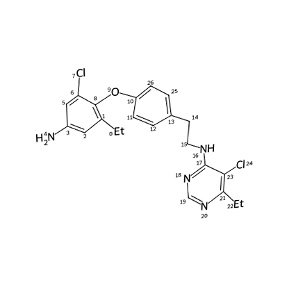 CCc1cc(N)cc(Cl)c1Oc1ccc(CCNc2ncnc(CC)c2Cl)cc1